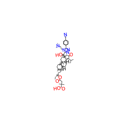 CC[C@H](CC[C@@]1(C)[C@H](C)CC[C@]2(C)[C@@H]1CC[C@@H]1C3=C(C(C)C)C(=O)C[C@]3([C@@H](O)c3nnc(-c4ccc(C#N)cc4)n3CCN(C)C)CC[C@]12C)OC(=O)CC(C)(C)C(=O)O